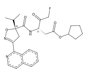 CC(C)[C@@]1(C(=O)N[C@@H](CC(=O)OC2CCCC2)C(=O)CF)CC(c2nccc3ccccc23)=NO1